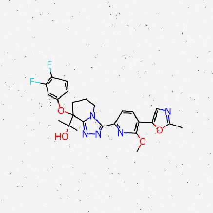 COc1nc(-c2nnc3n2CCCC3(Oc2ccc(F)c(F)c2)C(C)(C)O)ccc1-c1cnc(C)o1